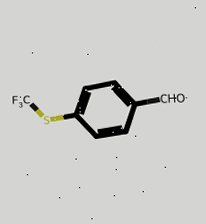 O=[C]c1ccc(SC(F)(F)F)cc1